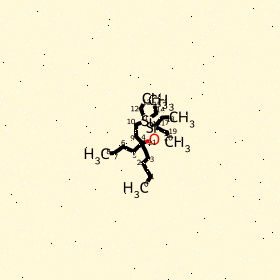 CCCCC1(CCCC)CC[Si](CC)(CC)[Si](CC)(CC)O1